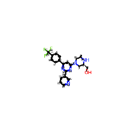 OC[C@H]1CN(c2cc(-c3ccc(C(F)(F)F)cc3)nc(-c3cccnc3)n2)CCN1